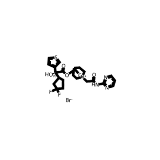 O=C(C[N+]12CCC(CC1)C(OC(=O)[C@](O)(c1ccsc1)C1CCC(F)(F)C1)C2)Nc1ncccn1.[Br-]